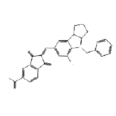 O=C(O)c1ccc2c(c1)C(=O)/C(=C/c1cc(Br)c3c(c1)C1CCCC1N3Cc1ccccc1)C2=O